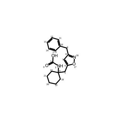 O=C(O)NC1(Cc2cc(Cc3ccccc3)no2)CCCCC1